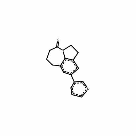 S=C1CCCc2cc(-c3cccnc3)cc3c2N1CC3